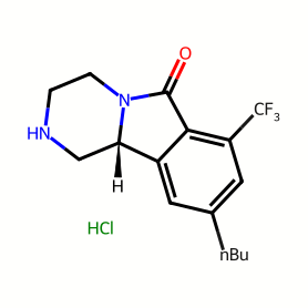 CCCCc1cc2c(c(C(F)(F)F)c1)C(=O)N1CCNC[C@@H]21.Cl